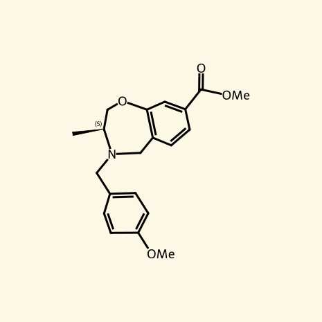 COC(=O)c1ccc2c(c1)OC[C@H](C)N(Cc1ccc(OC)cc1)C2